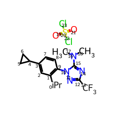 CC(C)c1cc(C2CC2)ccc1-n1nc(C(F)(F)F)nc1N(C)C.O=S(=O)(Cl)Cl